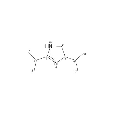 CC(C)C1=NC(C(C)C)CN1